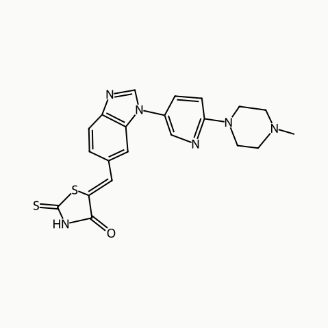 CN1CCN(c2ccc(-n3cnc4ccc(/C=C5\SC(=S)NC5=O)cc43)cn2)CC1